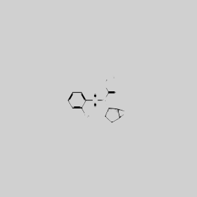 CC(C)(C)OC(=O)N([C@H]1CCC2O[C@@H]21)S(=O)(=O)c1ccccc1N=O